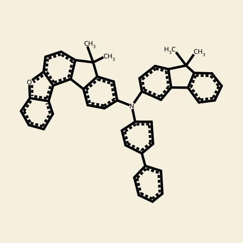 CC1(C)c2ccccc2-c2cc(N(c3ccc(-c4ccccc4)cc3)c3ccc4c(c3)C(C)(C)c3ccc5oc6ccccc6c5c3-4)ccc21